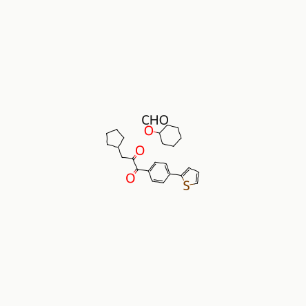 O=C(CC1CCCC1)C(=O)c1ccc(-c2cccs2)cc1.O=COC1CCCCC1